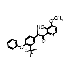 COc1ccnc(C(=O)Nc2ccc(Oc3ccccc3)c(C(F)(F)F)c2)c1O